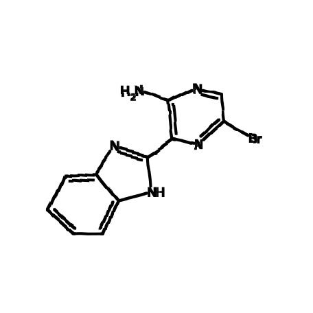 Nc1ncc(Br)nc1-c1nc2ccccc2[nH]1